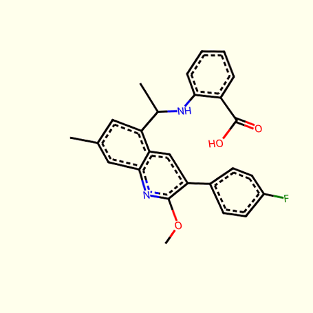 COc1nc2cc(C)cc(C(C)Nc3ccccc3C(=O)O)c2cc1-c1ccc(F)cc1